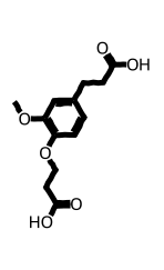 COc1cc(CCC(=O)O)ccc1OCCC(=O)O